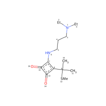 CCN(CC)CCCNc1c(C(C)(C)SC)c(=O)c1=O